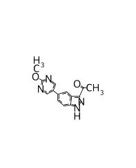 COc1ncc(-c2ccc3[nH]nc(C(C)=O)c3c2)cn1